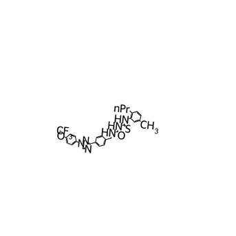 CCCc1ccc(C)cc1NC(=S)NC(=O)NCc1ccc(-c2ncn(-c3ccc(OC(F)(F)F)cc3)n2)cc1